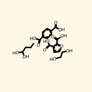 CCCC(O)O.O=C(O)c1ccc(C(=O)O)cc1.O=C(O)c1ccoc1C(=O)O.OCCO